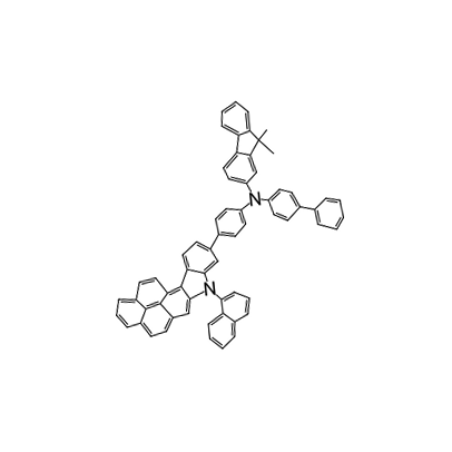 CC1(C)c2ccccc2-c2ccc(N(c3ccc(-c4ccccc4)cc3)c3ccc(-c4ccc5c6c7ccc8cccc9ccc(cc6n(-c6cccc%10ccccc6%10)c5c4)c7c98)cc3)cc21